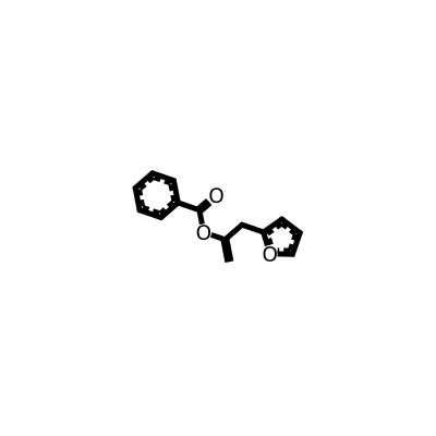 C=C(Cc1ccco1)OC(=O)c1ccccc1